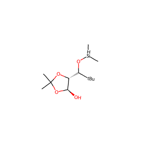 C[SiH](C)OC([C@H]1OC(C)(C)O[C@@H]1O)C(C)(C)C